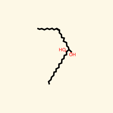 CCCCCCCC/C=C\CCCCCCCCC(CO)C(O)CCCCCCCCCCCCCCC